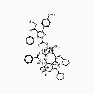 COc1ccc([C@H]2O[C@@H](C(=O)O[C@H]3C[C@@]4(O)[C@@H](OC(=O)c5ccccc5)[C@@H]5[C@]6(OC(C)=O)CO[C@@H]6C[C@H](OC6SCCS6)[C@@]5(C)C(=O)[C@H](OC5SCCS5)C(=C3C)C4(C)C)[C@H](c3ccccc3)N2C(=O)OC(C)(C)C)cc1